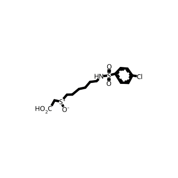 O=C(O)C[S+]([O-])CCCCCCNS(=O)(=O)c1ccc(Cl)cc1